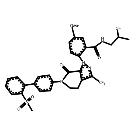 COc1ccc(-n2nc(C(F)(F)F)c3c2C(=O)N(c2ccc(-c4ccccc4S(C)(=O)=O)cc2)CC3)c(C(=O)NCC(C)O)c1